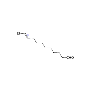 CC/C=C/CCCCCCCCC=O